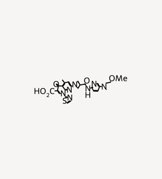 COCCN(C)c1ccc(NC(=O)C2CN(c3cc(C)c4c(=O)c(C(=O)O)cn(-c5nccs5)c4n3)C2)nc1